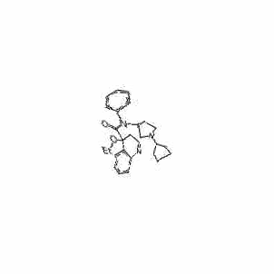 CCOC1(C(=O)N(c2ccccc2)C2CCN(C3CCCC3)C2)CC=Nc2ccccc21